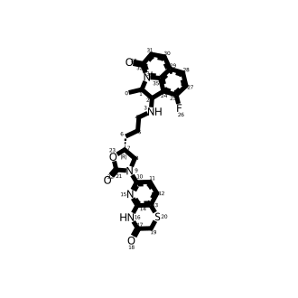 CC1C(NCCC[C@@H]2CN(c3ccc4c(n3)NC(=O)CS4)C(=O)O2)c2c(F)ccc3ccc(=O)n1c23